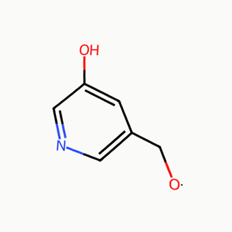 [O]Cc1cncc(O)c1